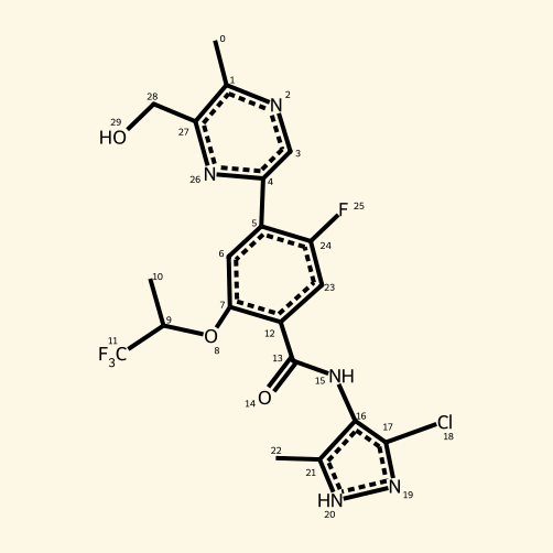 Cc1ncc(-c2cc(OC(C)C(F)(F)F)c(C(=O)Nc3c(Cl)n[nH]c3C)cc2F)nc1CO